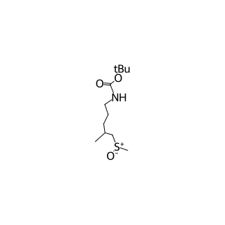 CC(CCCNC(=O)OC(C)(C)C)C[S+](C)[O-]